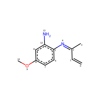 C=C/C(C)=N\c1ccc(OC)cc1N